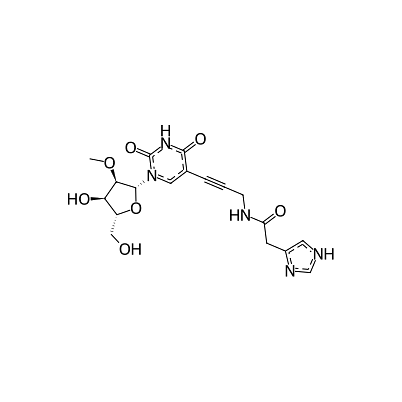 CO[C@@H]1[C@H](O)[C@@H](CO)O[C@H]1n1cc(C#CCNC(=O)Cc2c[nH]cn2)c(=O)[nH]c1=O